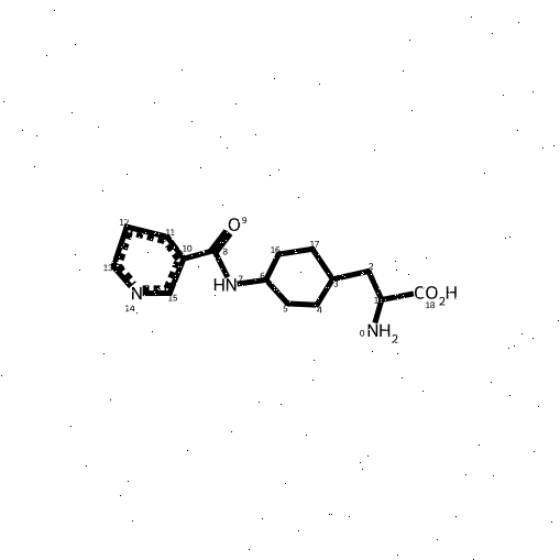 NC(CC1CCC(NC(=O)c2cccnc2)CC1)C(=O)O